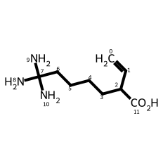 C=CC(CCCCC(N)(N)N)C(=O)O